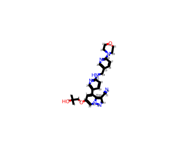 CC(C)(O)COc1cc(-c2ccc(NCc3ccc(N4CCOCC4)nc3)nc2)c2c(C#N)cnn2c1